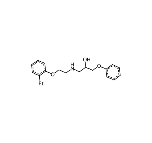 [CH2]Cc1ccccc1OCCNCC(O)COc1ccccc1